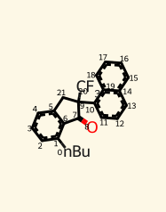 CCCCc1cccc2c1C(=O)C(c1cccc3ccccc13)(C(F)(F)F)C2